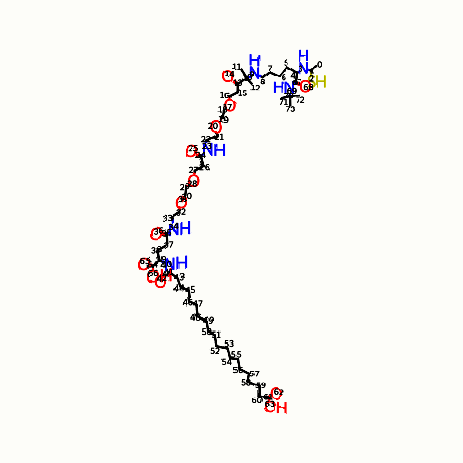 CC(S)NC(CCCCNC(C)(C)C(=O)CCOCCOCCNC(=O)CCOCCOCCNC(=O)CCC(NC(=O)CCCCCCCCCCCCCCCCCCC(=O)O)C(=O)O)C(=O)NC(C)(C)C